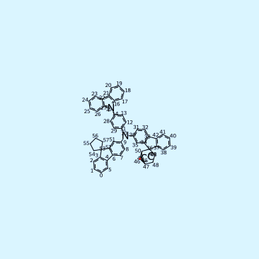 c1ccc2c(c1)-c1ccc(N(c3ccc(-n4c5ccccc5c5ccccc54)cc3)c3ccc4c(c3)C3(c5ccccc5-4)C4CCC5C(C4)CC53)cc1C21CCCC1